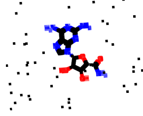 NC(=O)[C@H]1O[C@@H](n2cnc3c(N)nc(N)nc32)[C@H](O)[C@@H]1O